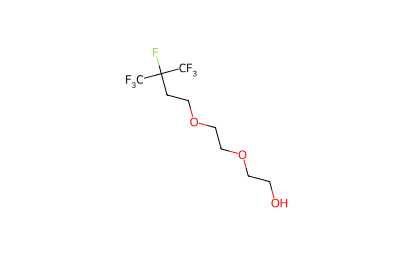 OCCOCCOCCC(F)(C(F)(F)F)C(F)(F)F